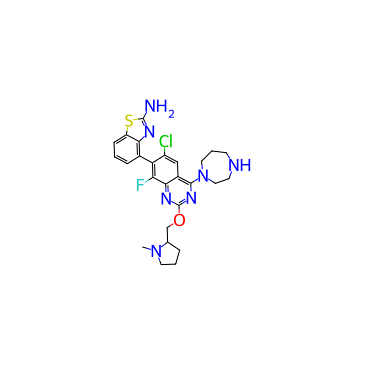 CN1CCCC1COc1nc(N2CCCNCC2)c2cc(Cl)c(-c3cccc4sc(N)nc34)c(F)c2n1